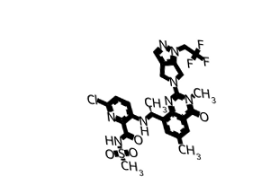 Cc1cc([C@@H](C)Nc2ccc(Cl)nc2C(=O)NS(C)(=O)=O)c2nc(N3Cc4cnn(CC(F)(F)F)c4C3)n(C)c(=O)c2c1